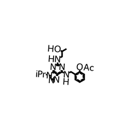 CC(=O)Oc1ccccc1CNc1nc(NCC(C)O)nc2c1nnn2C(C)C